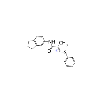 C/C(=C\Sc1ccccc1)C(=O)Nc1ccc2c(c1)CCC2